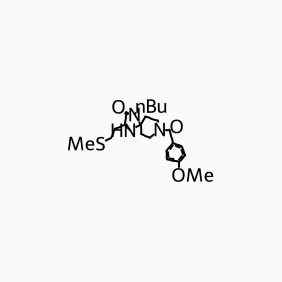 CCCCN1C(=O)C(CCSC)NC12CCN(C(=O)c1ccc(OC)cc1)CC2